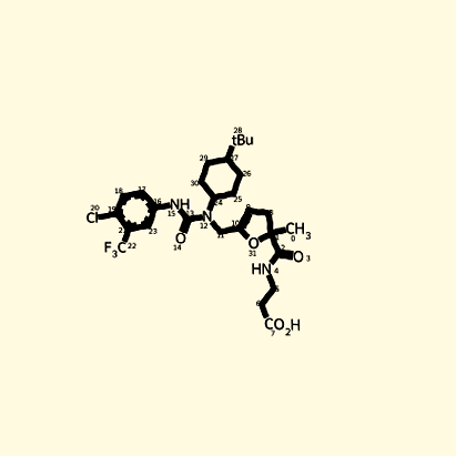 CC1(C(=O)NCCC(=O)O)CC=C(CN(C(=O)Nc2ccc(Cl)c(C(F)(F)F)c2)C2CCC(C(C)(C)C)CC2)O1